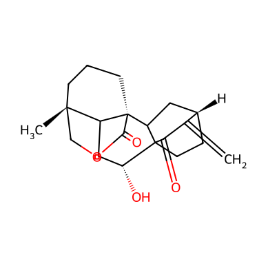 C=C1C(=O)C23CC[C@H]1CC2[C@@]12CCC[C@@](C)(COC1=O)C2C[C@H]3O